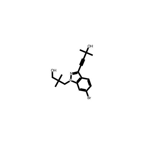 CC(C)(O)C#Cc1nn(CC(C)(C)CO)c2cc(Br)ccc12